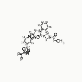 CCC(=O)N1CC(C(=O)N(Cc2cn3ccc(-c4nnc(C(F)F)o4)cc3n2)c2ccccc2)C1